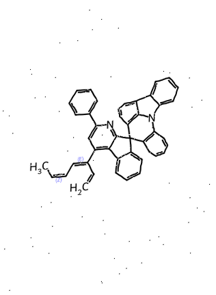 C=C/C(=C\C=C/C)c1cc(-c2ccccc2)nc2c1-c1ccccc1C21C2=C(C=CC=CC2)n2c3ccccc3c3cccc1c32